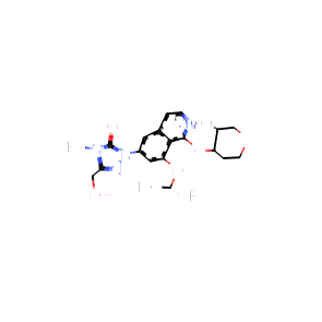 CCn1c(CO)nn(-c2cc(O[C@@H](C)C(F)(F)F)c3c(OC4CCOCC4OC)nccc3c2)c1=O